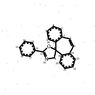 C1=Cc2ccccc2C2(CN=C(c3ccccc3)O2)c2ccccc21